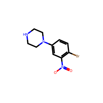 O=[N+]([O-])c1cc(N2CCNCC2)ccc1Br